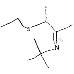 CCSC(C)/C(C)=N\C(C)(C)C